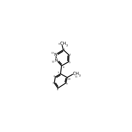 Cc1ccc(-c2ccccc2C)nn1